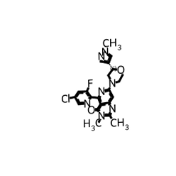 Cc1nc2cc(N3CCO[C@@H](c4cnn(C)c4)C3)nc(-c3ncc(Cl)cc3F)c2c(=O)n1C